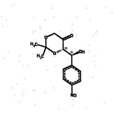 CC1(C)OCC(=O)[C@H]([C@@H](O)c2ccc(N=O)cc2)O1